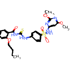 CCCCOc1ccccc1C(=O)NC(=S)Nc1ccc(S(=O)(=O)Nc2cc(OC)nc(OC)n2)cc1